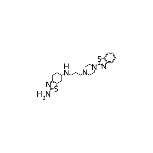 Nc1nc2c(s1)C[C@@H](NCCCN1CCN(c3nc4ccccc4s3)CC1)CC2